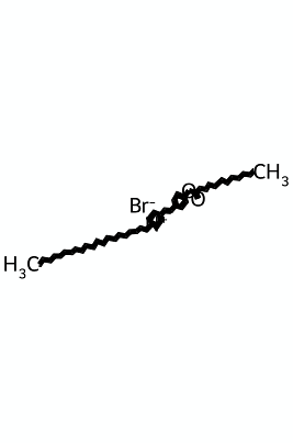 CCCCCCCCCCCCCCCCCCCCCC[n+]1ccc(C=Cc2ccc(OC(=O)CCCCCCCCCCCC)cc2)cc1.[Br-]